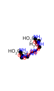 Cc1c(C(=O)c2ccc(N)c(C(=O)O)c2)c2ccccn2c1NC(=O)c1cccc(OCCNC(=O)CCC(=O)NCCOc2cccc(C(=O)Nc3c(C)c(C(=O)c4ccc(N)c(C(=O)O)c4)c4ccccn34)c2)c1